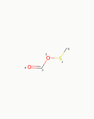 CSOC=O